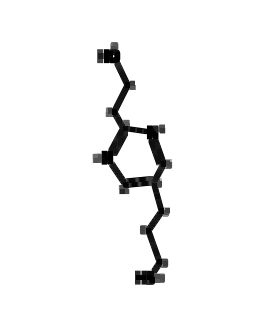 OCCc1ncc(CCCS)cn1